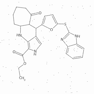 CCOC(=O)c1[nH]cc2c1NC1CCCCC(=O)C1C2c1ccc(Sc2nc3ccccc3[nH]2)o1